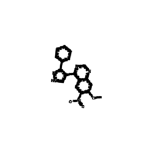 COc1cc2ncnc(-c3c[nH]nc3-c3ccccc3)c2cc1[N+](=O)[O-]